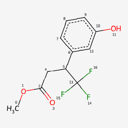 COC(=O)CC(c1cccc(O)c1)C(F)(F)F